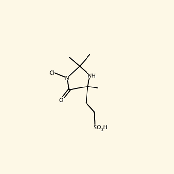 CC1(CCS(=O)(=O)O)NC(C)(C)N(Cl)C1=O